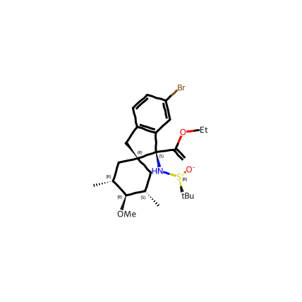 C=C(OCC)[C@@]1(N[S@@+]([O-])C(C)(C)C)c2cc(Br)ccc2C[C@@]12C[C@@H](C)[C@H](OC)[C@@H](C)C2